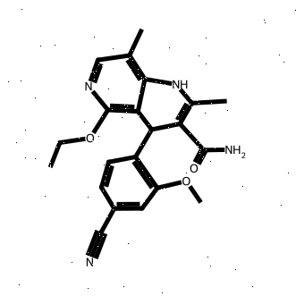 CCOc1ncc(C)c2c1C(c1ccc(C#N)cc1OC)C(C(N)=O)=C(C)N2